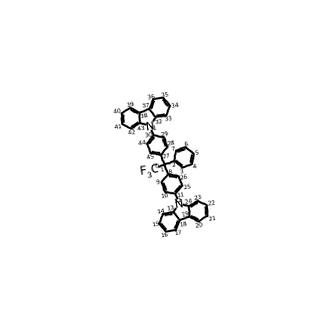 FC(F)(F)C(c1ccccc1)(c1ccc(-n2c3ccccc3c3ccccc32)cc1)c1ccc(-n2c3ccccc3c3ccccc32)cc1